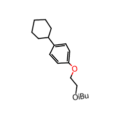 CC(C)COCCOc1ccc(C2CCCCC2)cc1